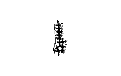 FC1=C(C(F)(C(F)(F)F)C(F)(F)C(F)(F)C(F)(F)C(F)(F)C(F)(F)F)C(F)(F)C(F)(F)C1(F)F